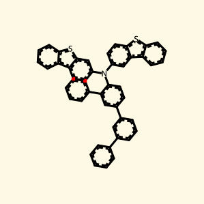 c1ccc(-c2cccc(-c3ccc(N(c4ccc5c(c4)sc4ccccc45)c4ccc5sc6ccccc6c5c4)c(-c4ccccc4)c3)c2)cc1